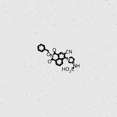 N#Cc1cc2c3c(cccc3c1N1CC[C@H](NC(=O)O)C1)C(=O)N(OCc1ccccc1)C2=O